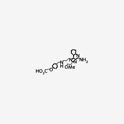 COCCc1nc2c(N)nc3ccccc3c2n1CCCNCc1ccc(OCC(=O)O)cc1